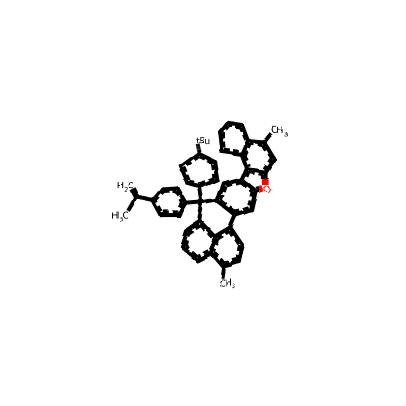 C=C(C)c1ccc(C2(c3ccc(C(C)(C)C)cc3)c3cc4c(cc3-c3ccc(C)c5cccc2c35)oc2cc(C)c3ccccc3c24)cc1